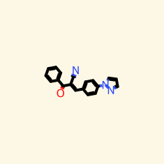 N#C/C(=C\c1ccc(-n2cccn2)cc1)C(=O)c1ccccc1